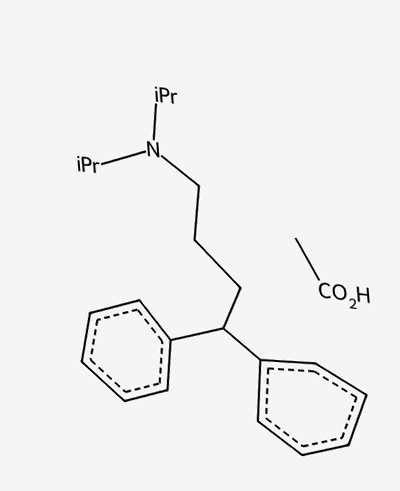 CC(=O)O.CC(C)N(CCCC(c1ccccc1)c1ccccc1)C(C)C